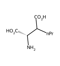 CCCC(C(=O)O)[C@H](N)C(=O)O